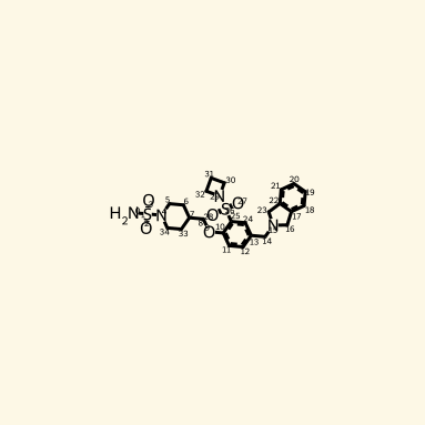 NS(=O)(=O)N1CCC(COc2ccc(CN3Cc4ccccc4C3)cc2S(=O)(=O)N2CCC2)CC1